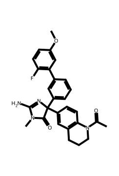 COc1ccc(F)c(-c2cccc(C3(c4ccc5c(c4)CCCN5C(C)=O)N=C(N)N(C)C3=O)c2)c1